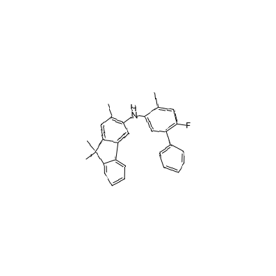 Cc1cc(F)c(-c2ccccc2)cc1Nc1cc2c(cc1C)C(C)(C)c1ccccc1-2